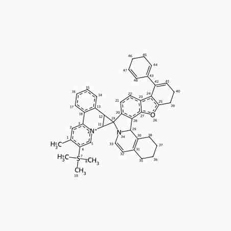 Cc1cc2[n+](cc1S(C)(C)C)C1C(c3ccccc3-2)C12c1ccc3c4c(oc3c1C1C3=C(C=CN12)CCCC3)CCC=C4C1=CCCC=C1